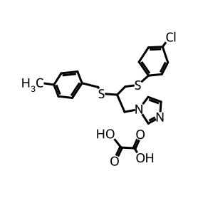 Cc1ccc(CSC(CSc2ccc(Cl)cc2)Cn2ccnc2)cc1.O=C(O)C(=O)O